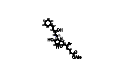 COC(=O)CCCC(Br)C1C[C@@H]2[C@@H](/C=C/[C@@H](O)CCC3CCCCC3)[C@H](O)C[C@H]2O1